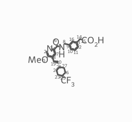 COc1cnc(C(=O)NCc2cccc(CC(=O)O)c2)cc1/C=C/[C@H]1CC[C@H](C(F)(F)F)CC1